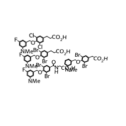 CNc1cc(F)cc(COc2c(Br)cc(C(=O)NCC(=O)O)cc2Br)c1.CNc1cc(F)cc(COc2c(Br)cc(CCC(=O)O)cc2Br)c1.CNc1cc(F)cc(COc2c(Cl)cc(CCC(=O)O)cc2Cl)c1.CNc1cccc(COc2c(Br)cc(CC(=O)O)cc2Br)c1